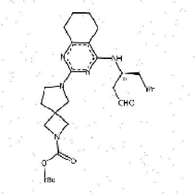 CC(C)C[C@@H](CC=O)Nc1nc(N2CCC3(CN(C(=O)OC(C)(C)C)C3)C2)nc2c1CCCC2